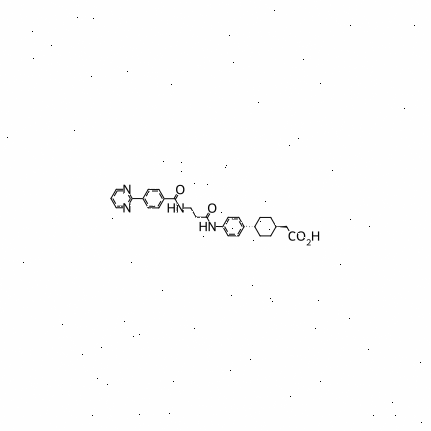 O=C(O)C[C@H]1CC[C@H](c2ccc(NC(=O)CCNC(=O)c3ccc(-c4ncccn4)cc3)cc2)CC1